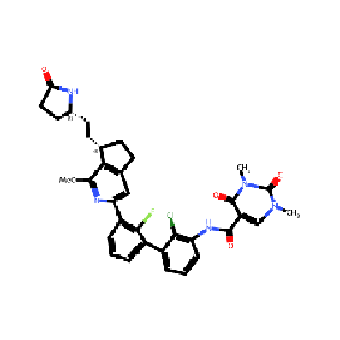 COc1nc(-c2cccc(-c3cccc(NC(=O)c4cn(C)c(=O)n(C)c4=O)c3Cl)c2F)cc2c1[C@H](CC[C@@H]1CCC(=O)N1)CC2